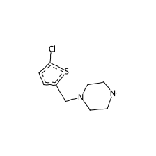 Clc1ccc(CN2CC[N]CC2)s1